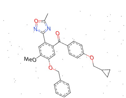 COc1cc(-c2noc(C)n2)c(C(=O)c2ccc(OCC3CC3)cc2)cc1OCc1ccccc1